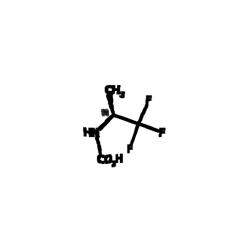 C[C@H](NC(=O)O)C(F)(F)F